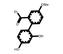 CCC(=O)c1cc(OC)ccc1-c1ccc(O)cc1O